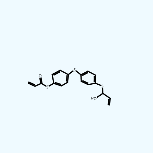 C=CC(=O)Sc1ccc(Sc2ccc(SC(O)C=C)cc2)cc1